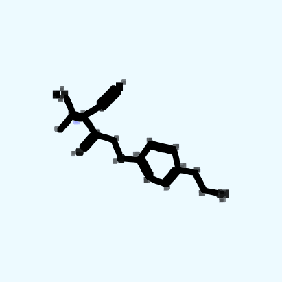 C/C(N)=C(/C#N)C(=O)COc1ccc(CCO)cc1